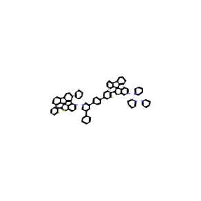 c1ccc(-c2cc(-c3ccc(-c4ccc5c6c(sc5c4)-c4cc(N5c7ccccc7N(c7ccccc7)c7ccccc75)ccc4C64c5ccccc5-c5ccccc54)cc3)cc(N(c3ccccc3)c3ccc4c(c3)C3(c5ccccc5-c5ccccc53)c3c-4sc4ccccc34)c2)cc1